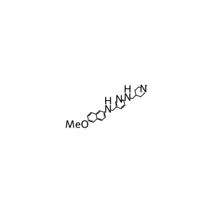 COc1ccc2cc(NCc3ccc(NCC4CCN(C)CC4)nc3)ccc2c1